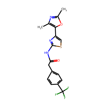 Cc1nc(C)c(-c2csc(NC(=O)Cc3ccc(C(F)(F)F)cc3)n2)o1